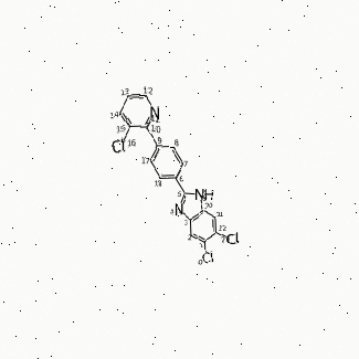 Clc1cc2nc(-c3ccc(-c4ncccc4Cl)cc3)[nH]c2cc1Cl